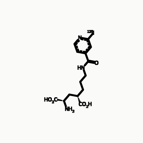 N[C@@H](C[C@H](CCCNC(=O)c1ccnc([125I])c1)C(=O)O)C(=O)O